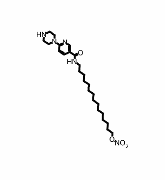 O=C(NCCCCCCCCCCCCCCCO[N+](=O)[O-])c1ccc(N2CCNCC2)nc1